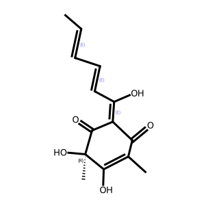 C/C=C/C=C/C(O)=C1/C(=O)C(C)=C(O)[C@@](C)(O)C1=O